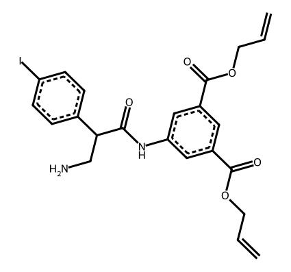 C=CCOC(=O)c1cc(NC(=O)C(CN)c2ccc(I)cc2)cc(C(=O)OCC=C)c1